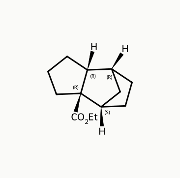 CCOC(=O)[C@@]12CCC[C@@H]1[C@@H]1CC[C@H]2C1